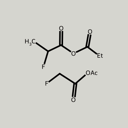 CC(=O)OC(=O)CF.CCC(=O)OC(=O)C(C)F